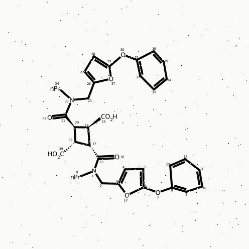 CCCN(Cc1ccc(Oc2ccccc2)o1)C(=O)[C@H]1[C@H](C(=O)O)[C@H](C(=O)N(CCC)Cc2ccc(Oc3ccccc3)o2)[C@H]1C(=O)O